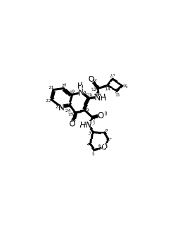 O=C(NC1CCOCC1)c1c(NC(=O)C2CCC2)[nH]c2cccnc2c1=O